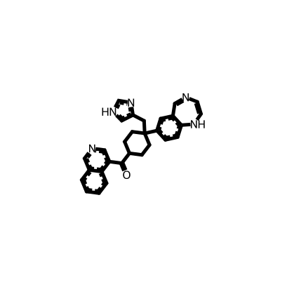 O=C(c1cncc2ccccc12)C1CCC(Cc2c[nH]cn2)(c2ccc3c(c2)C=NC=CN3)CC1